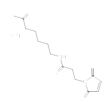 CC(=O)[C@@H](N)CCCCNC(=O)CCN1C(=O)C=CC1=O